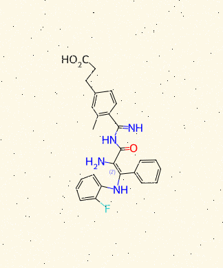 Cc1cc(CCC(=O)O)ccc1C(=N)NC(=O)/C(N)=C(/Nc1ccccc1F)c1ccccc1